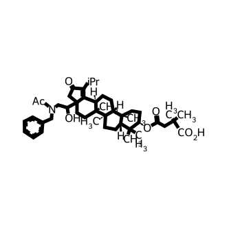 CC(=O)N(Cc1ccccc1)CC(O)C12CC[C@]3(C)[C@H](CC[C@@H]4[C@@]5(C)CC[C@H](OC(=O)CC(C)(C)C(=O)O)C(C)(C)[C@@H]5CC[C@]43C)C1=C(C(C)C)C(=O)C2